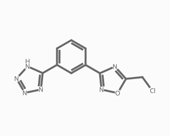 ClCc1nc(-c2cccc(-c3nnn[nH]3)c2)no1